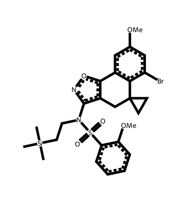 COc1cc(Br)c2c(c1)-c1onc(N(CC[Si](C)(C)C)S(=O)(=O)c3ccccc3OC)c1CC21CC1